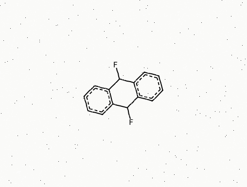 FC1c2ccccc2C(F)c2ccccc21